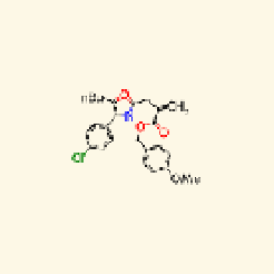 C=C(Cc1nc(-c2ccc(Cl)cc2)c(CCCC)o1)C(=O)OCc1ccc(OC)cc1